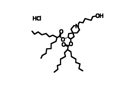 CCCCCCCC(CCCCCCC)C(=O)O[C@@H]1CC2(CCN(CCCCCO)CC2)C[C@H]1OC(=O)C(CCCCCCC)CCCCCCC.Cl